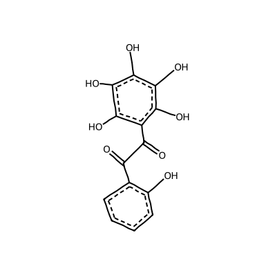 O=C(C(=O)c1c(O)c(O)c(O)c(O)c1O)c1ccccc1O